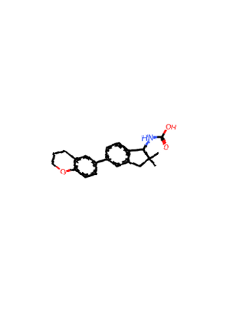 CC1(C)Cc2cc(-c3ccc4c(c3)CCCO4)ccc2C1NC(=O)O